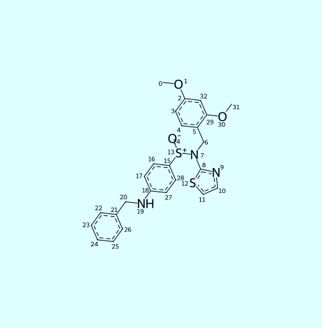 COc1ccc(CN(c2nccs2)[S+]([O-])c2ccc(NCc3ccccc3)cc2)c(OC)c1